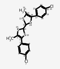 CC1=C(c2ccc(Cl)cc2)SC(C2SC(C)=C(c3ccc(Cl)cc3)S2)S1